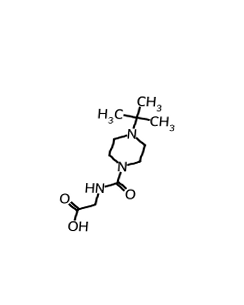 CC(C)(C)N1CCN(C(=O)NCC(=O)O)CC1